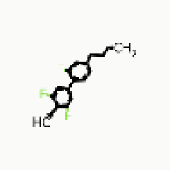 C#Cc1c(F)cc(-c2ccc(CCC=C)cc2F)cc1F